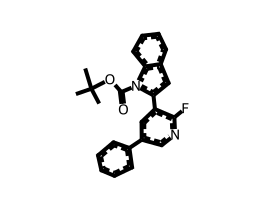 CC(C)(C)OC(=O)n1c(-c2cc(-c3ccccc3)cnc2F)cc2ccccc21